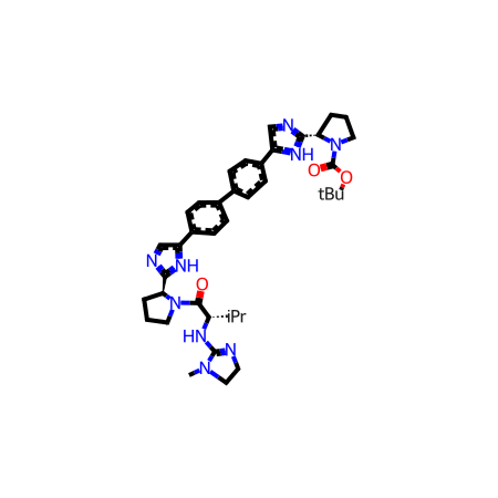 CC(C)[C@H](NC1=NCCN1C)C(=O)N1CCC[C@H]1c1ncc(-c2ccc(-c3ccc(-c4cnc([C@@H]5CCCN5C(=O)OC(C)(C)C)[nH]4)cc3)cc2)[nH]1